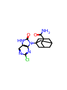 NC(=O)C12CC3CC(C1)CC(n1c(=O)[nH]c4cnc(Cl)nc41)(C3)C2